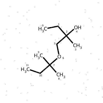 CCC(C)(O)COC(C)(C)CC